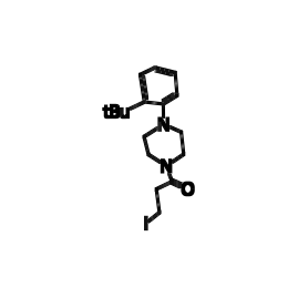 CC(C)(C)c1ccccc1N1CCN(C(=O)CCI)CC1